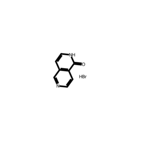 Br.O=c1[nH]ccc2cnccc12